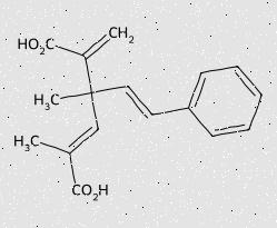 C=C(C(=O)O)C(C)(C=Cc1ccccc1)C=C(C)C(=O)O